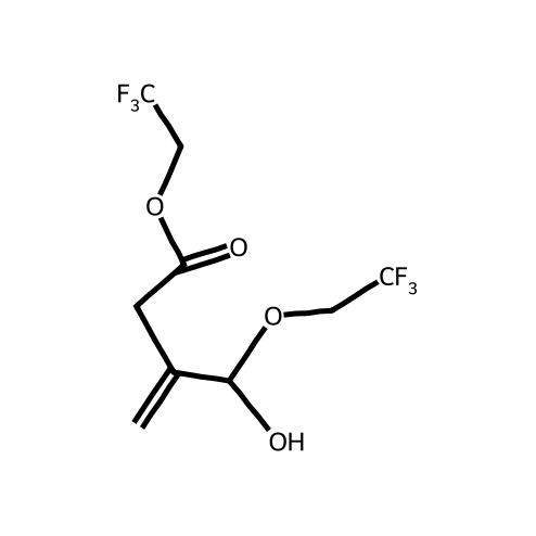 C=C(CC(=O)OCC(F)(F)F)C(O)OCC(F)(F)F